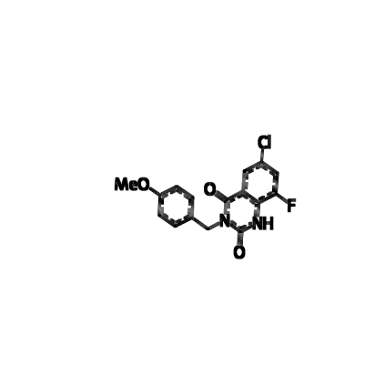 COc1ccc(Cn2c(=O)[nH]c3c(F)cc(Cl)cc3c2=O)cc1